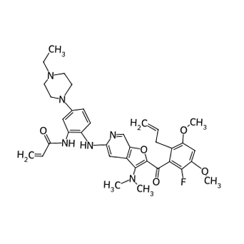 C=CCc1c(OC)cc(OC)c(F)c1C(=O)c1oc2cnc(Nc3ccc(N4CCN(CC)CC4)cc3NC(=O)C=C)cc2c1N(C)C